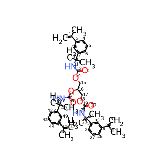 C=C(C)c1cccc(C(C)(C)NC(=O)OCC(COC(=O)NC(C)(C)c2cccc(C(=C)C)c2)OC(=O)NC(C)(C)c2cccc(C(=C)C)c2)c1